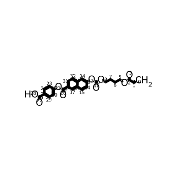 C=CC(=O)OCCCCOC(=O)Oc1ccc2cc(C(=O)Oc3ccc(C(=O)O)cc3)ccc2c1